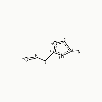 Cc1coc(CC=O)n1